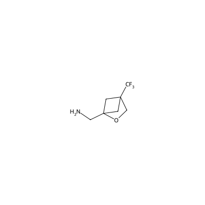 NCC12CC(C(F)(F)F)(CO1)C2